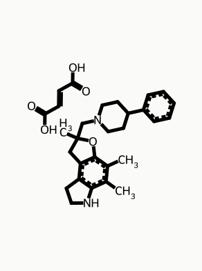 Cc1c(C)c2c(c3c1NCC3)CC(C)(CN1CCC(c3ccccc3)CC1)O2.O=C(O)C=CC(=O)O